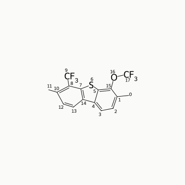 Cc1ccc2c(sc3c(C(F)(F)F)c(C)ccc32)c1OC(F)(F)F